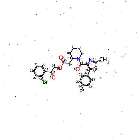 Cc1nc(C(=O)N2CCCCC2CC(=O)OCC(=O)c2ccccc2Br)c(-c2ccc(F)cc2)s1